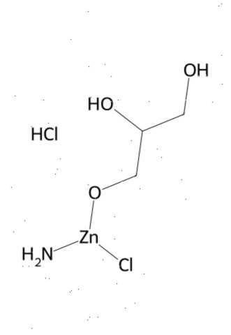 Cl.[NH2][Zn]([Cl])[O]CC(O)CO